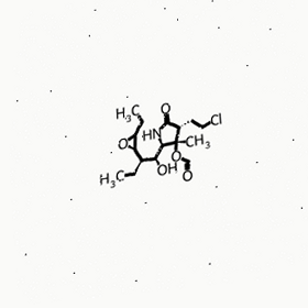 CCC1O[C@@H]1[C@H](CC)[C@H](O)[C@H]1NC(=O)[C@H](CCCl)[C@]1(C)OC=O